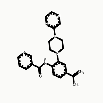 C=C(C)c1ccc(NC(=O)c2cccnc2)c(N2CCN(c3cnccn3)CC2)c1